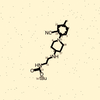 Cc1ccc(N2CCC(NCCNC(=O)OC(C)(C)C)CC2)c(C#N)c1